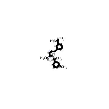 C=C(N)c1cccc(C/C=C\C(=N/C)NC(C)(C)c2cccc(C)c2)c1